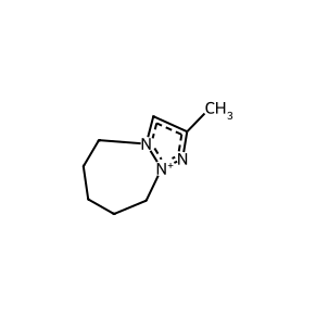 Cc1cn2[n+](n1)CCCCC2